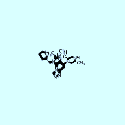 Cc1nc2c(N3C[C@@H](C)NC[C@@H]3C)cc3nncn3c2n1C[C@@H]1CCCO1.Cl